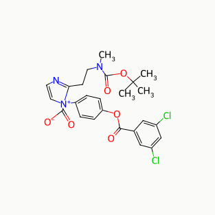 CN(CCC1=NC=C[N+]1(C(=O)[O-])c1ccc(OC(=O)c2cc(Cl)cc(Cl)c2)cc1)C(=O)OC(C)(C)C